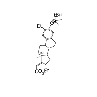 CCOC(=O)C=C1CCC2C3CCc4cc(O[Si](C)(C)C(C)(C)C)c(CC)cc4C3CC[C@]12C